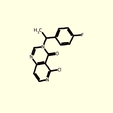 CC(c1ccc(F)cc1)n1cnc2ccnc(Cl)c2c1=O